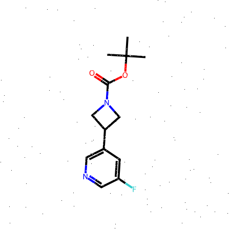 CC(C)(C)OC(=O)N1CC(c2cncc(F)c2)C1